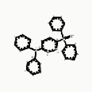 O=P(c1ccccc1)(c1ccccc1)c1ccc(N(c2ccccc2)c2ccccc2)nn1